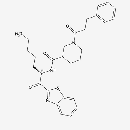 NCCCC[C@@H](NC(=O)C1CCCN(C(=O)CCc2ccccc2)C1)C(=O)c1nc2ccccc2s1